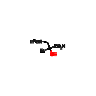 CCCCCCC(O)(CC)C(=O)O